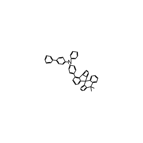 CC1(C)c2ccccc2C2(c3ccccc3-c3c(-c4ccc(N(c5ccccc5)c5ccc(-c6ccccc6)cc5)cc4)cccc32)c2ccccc21